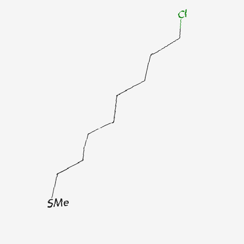 CSCCCCCCCCCl